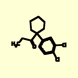 CCC(=O)C1(c2ccc(Cl)c(Cl)c2)CCCCC1